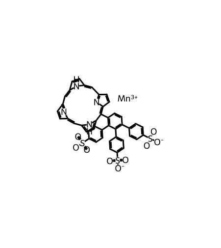 O=S(=O)([O-])c1ccc(-c2ccc(-c3c4nc(cc5ccc(cc6nc(cc7ccc3[nH]7)C=C6)[nH]5)C=C4)c(-c3ccc(S(=O)(=O)[O-])cc3)c2-c2ccc(S(=O)(=O)[O-])cc2)cc1.[Mn+3]